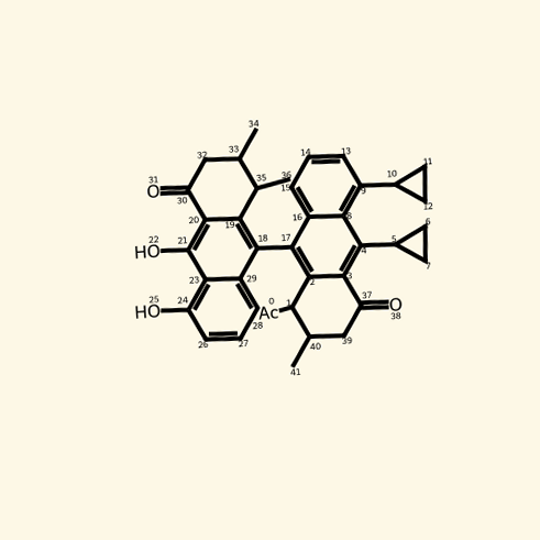 CC(=O)C1c2c(c(C3CC3)c3c(C4CC4)cccc3c2-c2c3c(c(O)c4c(O)cccc24)C(=O)CC(C)C3C)C(=O)CC1C